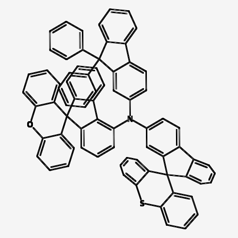 c1ccc(C2(c3ccccc3)c3ccccc3-c3ccc(N(c4ccc5c(c4)C4(c6ccccc6Sc6ccccc64)c4ccccc4-5)c4cccc5c4-c4ccccc4C54c5ccccc5Oc5ccccc54)cc32)cc1